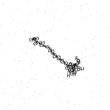 CC(C)(C)[C@H](c1nc(-c2cc(F)ccc2F)cn1Cc1ccccc1)N(CC1CNCC1NC(=O)CCOCCOCCOCCOCCOCCOCCOCCOCCNC(=O)CCN1C(=O)C=CC1=O)C(=O)CO